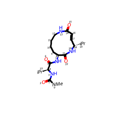 CNC(=O)N[C@H](C(=O)N[C@H]1CCCCNC(=O)/C=C/[C@H](C(C)C)NC1=O)C(C)C